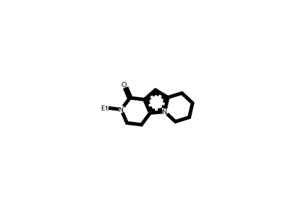 CCN1CCc2c(cc3n2CCCC3)C1=O